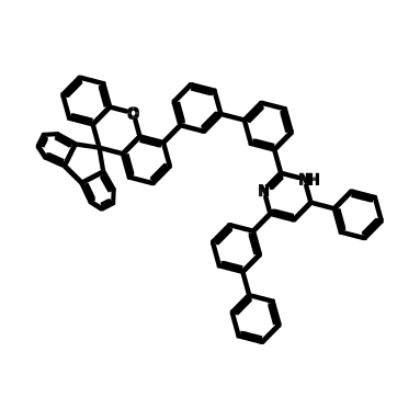 C1=C(c2cccc(-c3ccccc3)c2)N=C(c2cccc(-c3cccc(-c4cccc5c4Oc4ccccc4C54c5ccccc5-c5ccccc54)c3)c2)NC1c1ccccc1